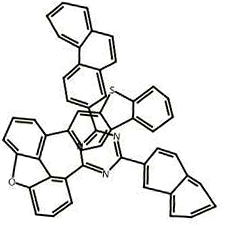 c1ccc2cc(-c3nc(-c4ccc5c(ccc6ccccc65)c4)nc(-c4cccc5oc6cccc(-c7ccc8c(c7)sc7ccccc78)c6c45)n3)ccc2c1